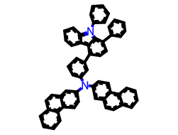 c1ccc(-c2ccc(-c3cccc(N(c4ccc5c(ccc6ccccc65)c4)c4ccc5c(ccc6ccccc65)c4)c3)c3c4ccccc4n(-c4ccccc4)c23)cc1